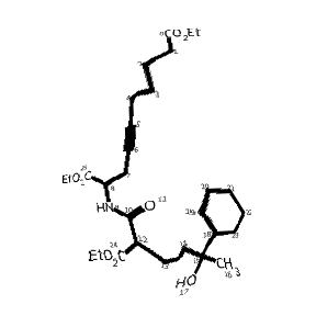 CCOC(=O)CCCCC#CCC(NC(=O)C(CCC(C)(O)C1CCCCC1)C(=O)OCC)C(=O)OCC